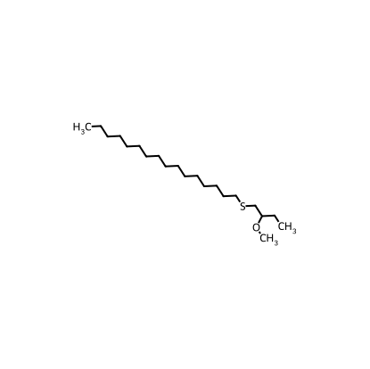 CCCCCCCCCCCCCCCCSCC(CC)OC